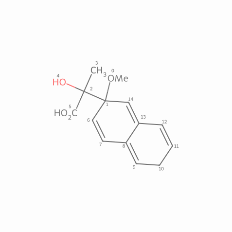 COC1(C(C)(O)C(=O)O)C=CC2=CCC=CC2=C1